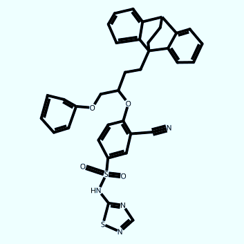 N#Cc1cc(S(=O)(=O)Nc2ncns2)ccc1OC(CCC12CCC(c3ccccc31)c1ccccc12)COc1ccccc1